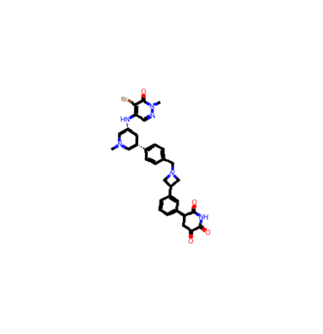 CN1C[C@H](Nc2cnn(C)c(=O)c2Br)C[C@H](c2ccc(CN3CC(c4cccc(C5CC(=O)C(=O)NC5=O)c4)C3)cc2)C1